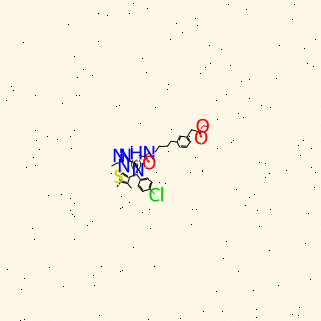 COC(=O)Cc1cccc(CCCCNC(=O)C[C@@H]2N=C(c3ccc(Cl)cc3)c3c(sc(C)c3C)-n3c(C)nnc32)c1